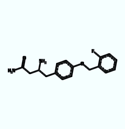 NC(=O)CC(N)Cc1ccc(OCc2ccccc2F)cc1